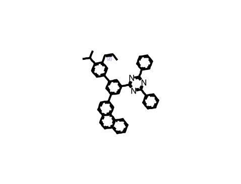 C/C=C\c1cc(-c2cc(-c3ccc4ccc5ccccc5c4c3)cc(-c3nc(-c4ccccc4)nc(-c4ccccc4)n3)c2)ccc1C(C)C